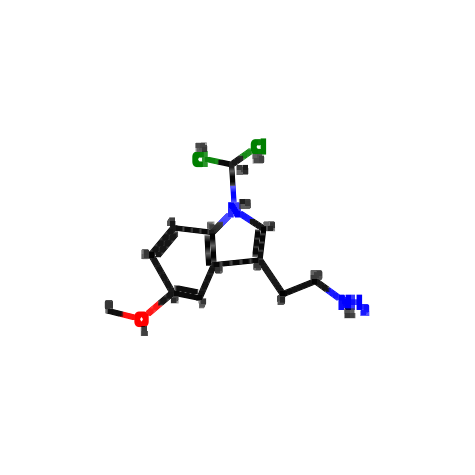 COc1ccc2c(c1)c(CCN)cn2C(Cl)Cl